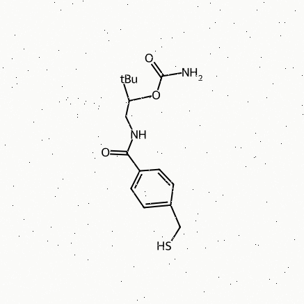 CC(C)(C)C(CNC(=O)c1ccc(CS)cc1)OC(N)=O